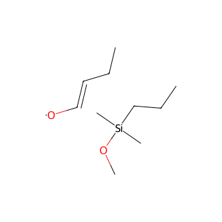 CCC=C[O].CCC[Si](C)(C)OC